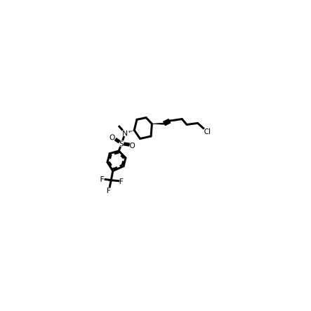 CN([C@H]1CC[C@H](C#CCCCCl)CC1)S(=O)(=O)c1ccc(C(F)(F)F)cc1